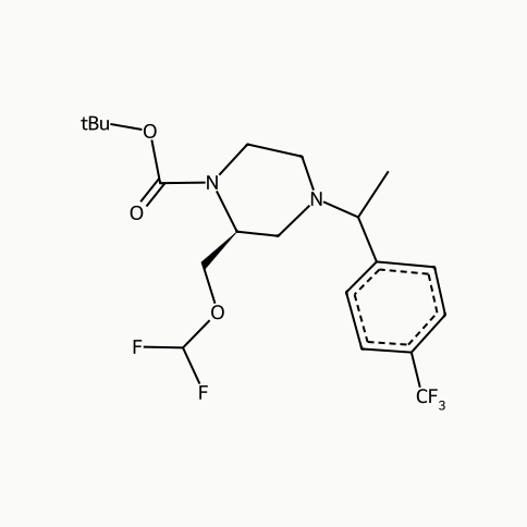 CC(c1ccc(C(F)(F)F)cc1)N1CCN(C(=O)OC(C)(C)C)[C@H](COC(F)F)C1